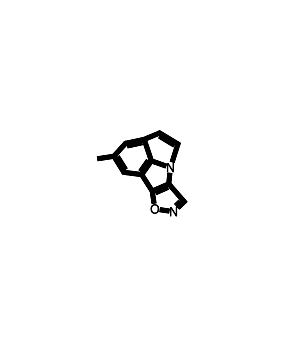 Cc1cc2ccn3c4cnoc4c(c1)c23